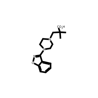 CC(C)(CN1CCN(c2noc3ccccc23)CC1)C(=O)O